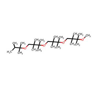 COC(C)(C)C(C)(C)COC(C)(C)C(C)(C)COC(C)(C)C(C)(C)COC(C)(C)C(C)C